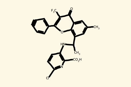 Cc1cc(C(C)Nc2ccc(Cl)nc2C(=O)O)c2oc(-c3cc#ccc3)c(C(F)(F)F)c(=O)c2c1